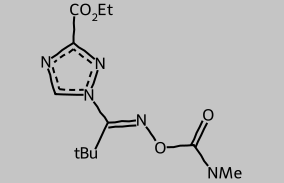 CCOC(=O)c1ncn(C(=NOC(=O)NC)C(C)(C)C)n1